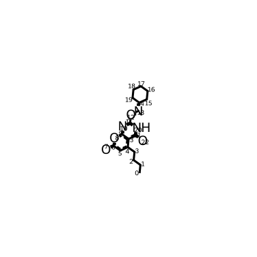 CCCCc1cc(=O)oc2nc(ON=C3CCCCC3)[nH]c(=O)c12